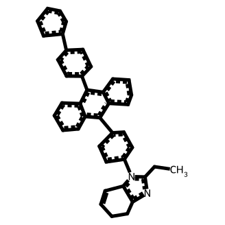 CCc1nc2c(n1-c1ccc(-c3c4ccccc4c(-c4ccc(-c5ccccc5)cc4)c4ccccc34)cc1)C=CCC2